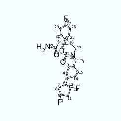 C[C@@H](c1ccc(-c2ccc(F)cc2F)cc1)N1CC[C@](CC(N)=O)(c2ccc(F)cc2)OC1=O